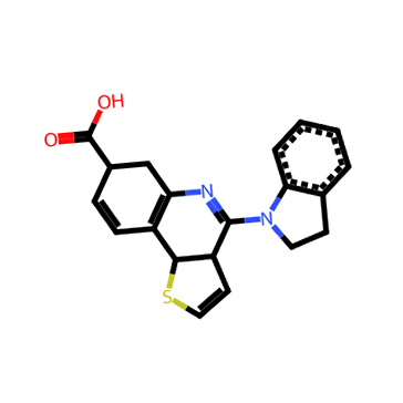 O=C(O)C1C=CC2=C(C1)N=C(N1CCc3ccccc31)C1C=CSC21